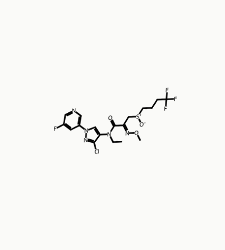 CCN(C(=O)C(C[S+]([O-])CCCC(F)(F)F)=NOC)c1cn(-c2cncc(F)c2)nc1Cl